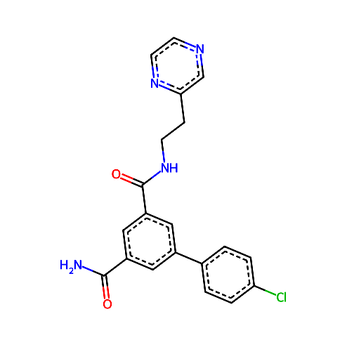 NC(=O)c1cc(C(=O)NCCc2cnccn2)cc(-c2ccc(Cl)cc2)c1